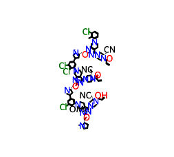 C=CC(=O)N1CCN(c2nc(OC[C@@H]3CC(c4cc(Cl)c(Cl)c(N5CCc6c(nc(OC[C@@H]7CC(c8cc(Cl)c(OC)c(N9CCc%10c(nc(OC[C@@H]%11CCCN%11C)nc%10N%10CCN(C(O)C=C)[C@@H](CC#N)C%10)C9)c8)CN7C)nc6N6CCN(C(=O)C=C)[C@@H](CC#N)C6)C5)c4)CN3C)nc3c2CCN(c2cccc(Cl)c2C)C3)C[C@@H]1CC#N